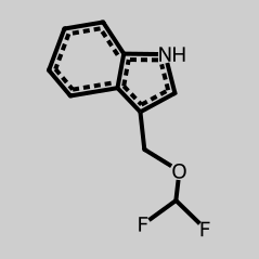 FC(F)OCc1c[nH]c2ccccc12